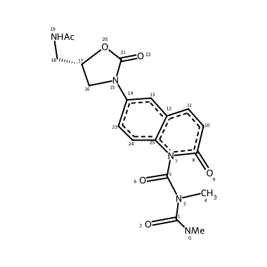 CNC(=O)N(C)C(=O)n1c(=O)ccc2cc(N3C[C@H](CNC(C)=O)OC3=O)ccc21